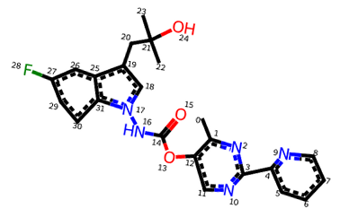 Cc1nc(-c2ccccn2)ncc1OC(=O)Nn1cc(CC(C)(C)O)c2cc(F)ccc21